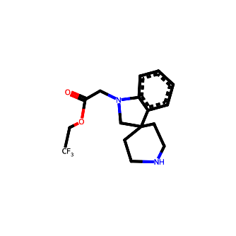 O=C(CN1CC2(CCNCC2)c2ccccc21)OCC(F)(F)F